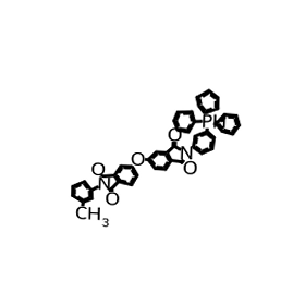 Cc1cccc(N2C(=O)c3ccc(Oc4ccc5c(c4)C(=O)N(c4cccc([PH](c6ccccc6)(c6ccccc6)c6ccccc6)c4)C5=O)cc3C2=O)c1